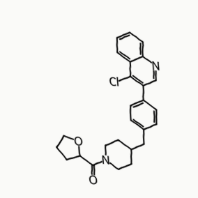 O=C(C1CCCO1)N1CCC(Cc2ccc(-c3cnc4ccccc4c3Cl)cc2)CC1